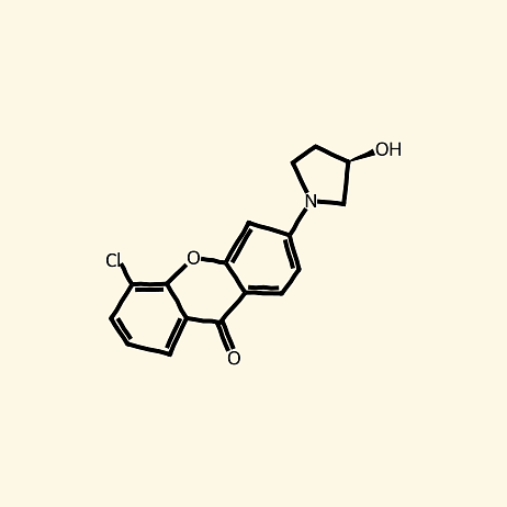 O=c1c2ccc(N3CC[C@@H](O)C3)cc2oc2c(Cl)cccc12